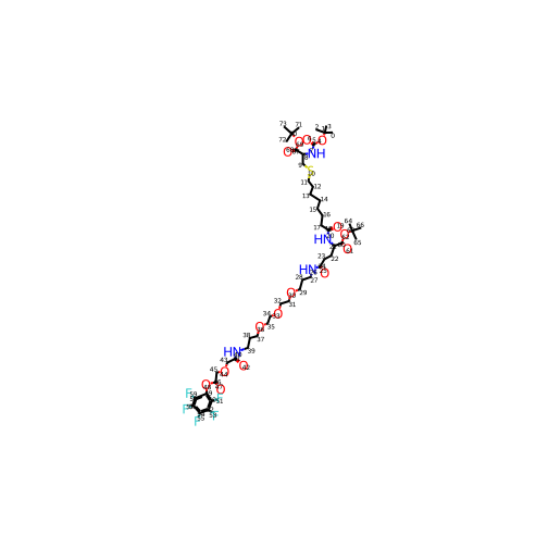 CC(C)(C)OC(=O)NC(CSCCCCCCCC(=O)NC(CCC(=O)NCCCOCCOCCOCCCNC(=O)COCC(=O)Oc1c(F)c(F)c(F)c(F)c1F)C(=O)OC(C)(C)C)C(=O)OC(C)(C)C